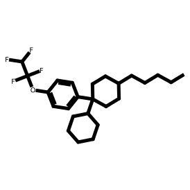 CCCCCC1CCC(c2ccc(OC(F)(F)C(F)F)cc2)(C2CCCCC2)CC1